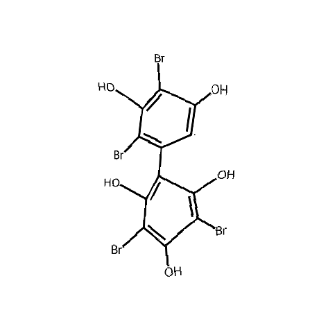 Oc1[c]c(-c2c(O)c(Br)c(O)c(Br)c2O)c(Br)c(O)c1Br